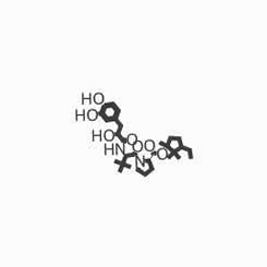 CCC1CCC(C)(OC(=O)[C@@H]2CCCN2C(=O)[C@@H](NC(=O)C(O)Cc2ccc(O)c(O)c2)C(C)(C)C)C1(C)C